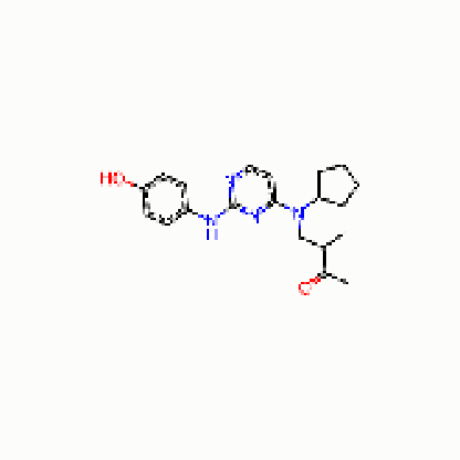 CC(=O)C(C)CN(c1ccnc(Nc2ccc(O)cc2)n1)C1CCCC1